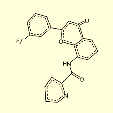 O=C(Nc1cccc2c(=O)cc(-c3cccc(C(F)(F)F)c3)oc12)c1ccccn1